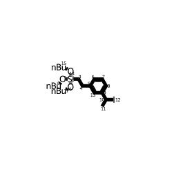 CCCCO[Si](CCc1cccc(C(C)I)c1)(OCCCC)OCCCC